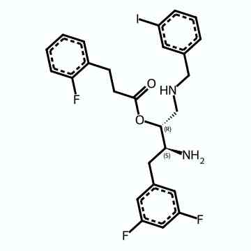 N[C@@H](Cc1cc(F)cc(F)c1)[C@@H](CNCc1cccc(I)c1)OC(=O)CCc1ccccc1F